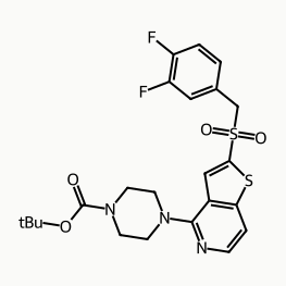 CC(C)(C)OC(=O)N1CCN(c2nccc3sc(S(=O)(=O)Cc4ccc(F)c(F)c4)cc23)CC1